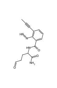 CC#Cc1cccc(C(=O)NC(CCC=O)C(N)=O)c1N=N